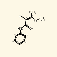 CO/C(C)=C(/Cl)C(=O)Nc1ccccc1